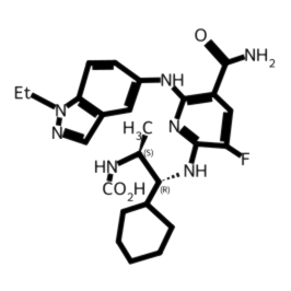 CCn1ncc2cc(Nc3nc(N[C@H](C4CCCCC4)[C@H](C)NC(=O)O)c(F)cc3C(N)=O)ccc21